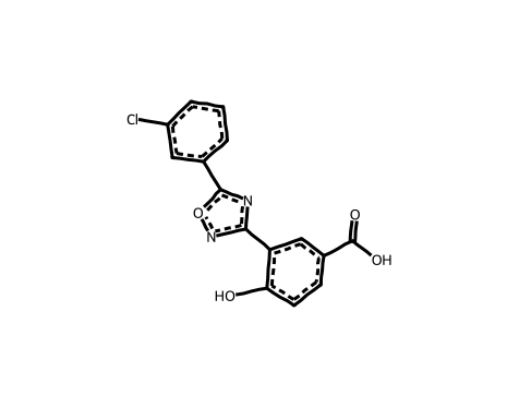 O=C(O)c1ccc(O)c(-c2noc(-c3cccc(Cl)c3)n2)c1